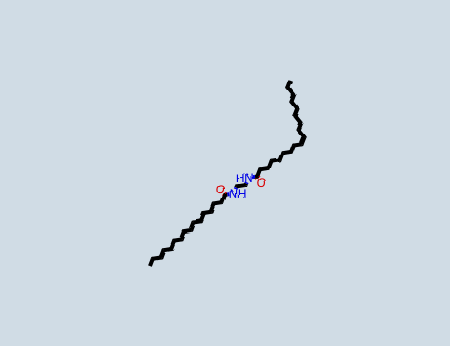 CCCCCCCC/C=C\CCCCCCCC(=O)NCCNC(=O)CCCCCCCCCCCCCCC